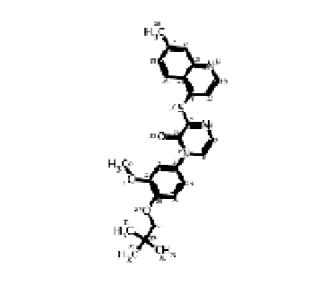 COc1cc(-n2ccnc(Sc3ccnc4cc(C)ccc34)c2=O)ccc1OCC(C)(C)C